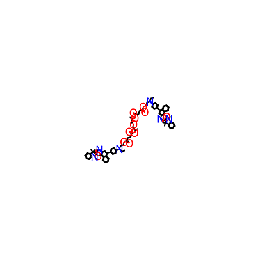 CCN(CCOC(=O)CCC(=O)OC(C)COCC(C)OC(=O)CCC(=O)OCCN(CC)c1ccc(-c2cc3c(c4ccccc24)OC2(C=N3)N(C)c3ccccc3C2(C)C)cc1)c1ccc(-c2cc3c(c4ccccc24)OC2(C=N3)N(C)c3ccccc3C2(C)C)cc1